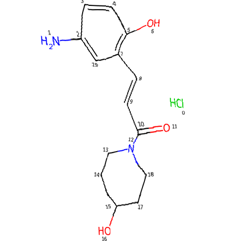 Cl.Nc1ccc(O)c(C=CC(=O)N2CCC(O)CC2)c1